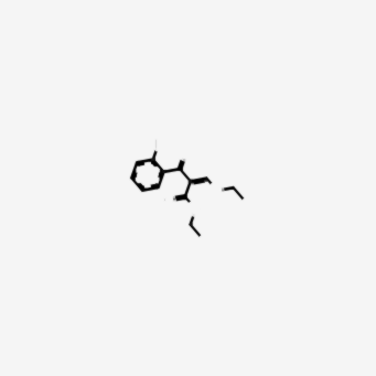 CCOC=C(C(=O)OCC)C(=O)c1ccccc1F